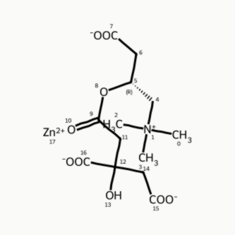 C[N+](C)(C)C[C@@H](CC(=O)[O-])OC(=O)CC(O)(CC(=O)[O-])C(=O)[O-].[Zn+2]